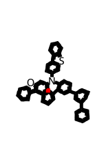 c1ccc(-c2cccc(-c3ccc(N(c4ccc5c(c4)oc4ccccc45)c4ccc5c(c4)sc4ccccc45)c(-c4ccccc4)c3)c2)cc1